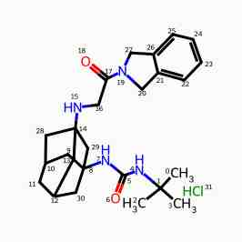 CC(C)(C)NC(=O)NC12CC3CC(CC(NCC(=O)N4Cc5ccccc5C4)(C3)C1)C2.Cl